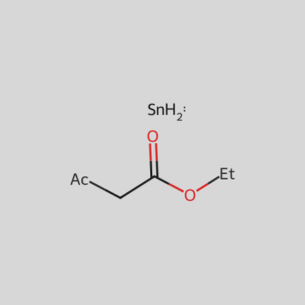 CCOC(=O)CC(C)=O.[SnH2]